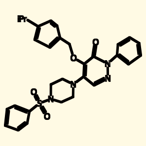 CC(C)c1ccc(COc2c(N3CCN(S(=O)(=O)c4ccccc4)CC3)cnn(-c3ccccc3)c2=O)cc1